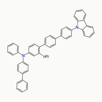 CCCc1cc(N(c2ccccc2)c2ccc(-c3ccccc3)cc2)ccc1-c1ccc(-c2ccc(-n3c4ccccc4c4ccccc43)cc2)cc1